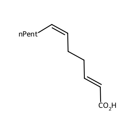 CCCCC/C=C\CC/C=C/C(=O)O